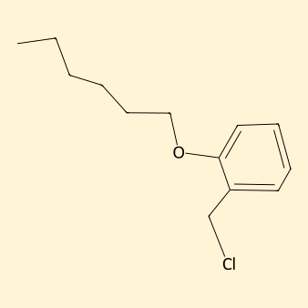 CCCCCCOc1ccccc1CCl